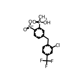 CP(=O)(O)c1cc(Cc2ccc(C(F)(F)F)cc2Cl)ccc1[N+](=O)[O-]